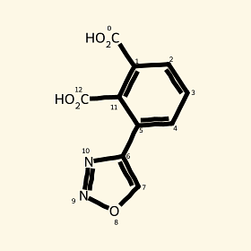 O=C(O)c1cccc(-c2conn2)c1C(=O)O